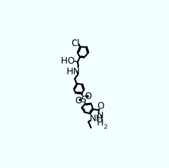 CCNc1ccc(S(=O)(=O)c2ccc(CCNC[C@@H](O)c3cccc(Cl)c3)cc2)cc1C(N)=O